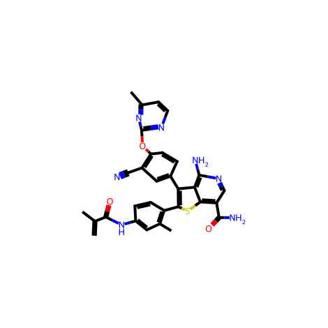 C=C(C)C(=O)Nc1ccc(-c2sc3c(C(N)=O)cnc(N)c3c2-c2ccc(Oc3nccc(C)n3)c(C#N)c2)c(C)c1